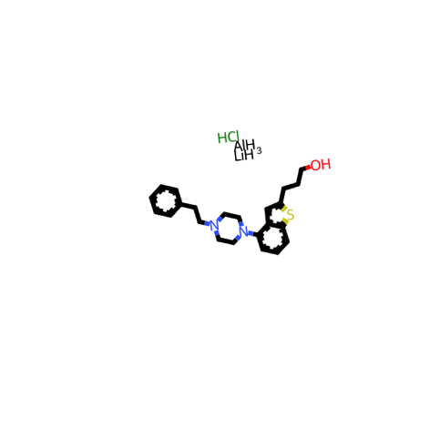 Cl.OCCCc1cc2c(N3CCN(CCc4ccccc4)CC3)cccc2s1.[AlH3].[LiH]